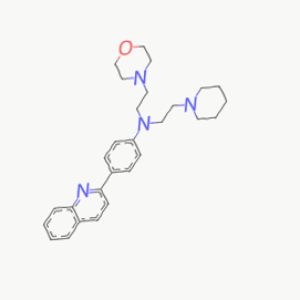 c1ccc2nc(-c3ccc(N(CCN4CCCCC4)CCN4CCOCC4)cc3)ccc2c1